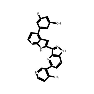 Cc1ccncc1-c1ccc2[nH]nc(-c3cc4c(-c5cc(O)cc(F)c5)ccnc4[nH]3)c2n1